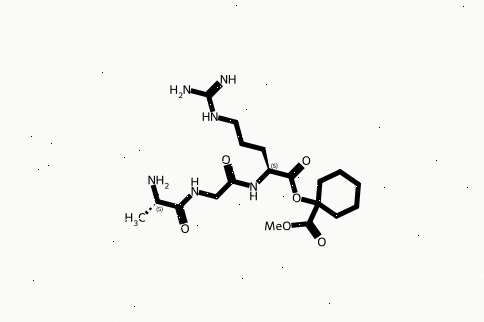 COC(=O)C1(OC(=O)[C@H](CCCNC(=N)N)NC(=O)CNC(=O)[C@H](C)N)CCCCC1